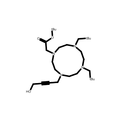 CC(C)(C)CN1CCN(CC#CCO)CCN(CC(=O)OC(C)(C)C)CCN(CC(C)(C)C)CC1